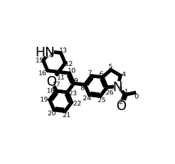 CC(=O)N1CCc2cc(C3=CC4(CCNCC4)Oc4ccccc43)ccc21